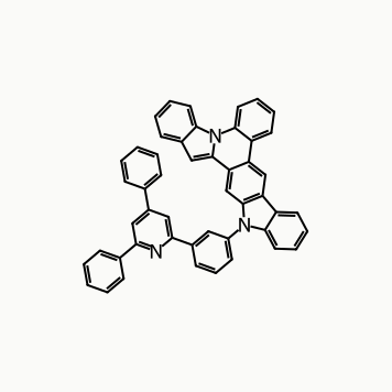 c1ccc(-c2cc(-c3ccccc3)nc(-c3cccc(-n4c5ccccc5c5cc6c7ccccc7n7c8ccccc8cc7c6cc54)c3)c2)cc1